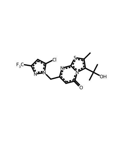 Cc1sc2nc(Cn3nc(C(F)(F)F)cc3Cl)cc(=O)n2c1C(C)(C)O